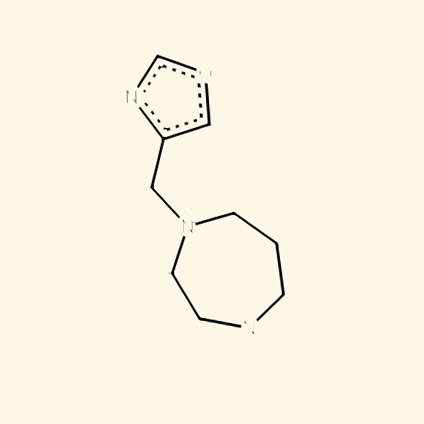 c1nc(CN2CCC[N]CC2)co1